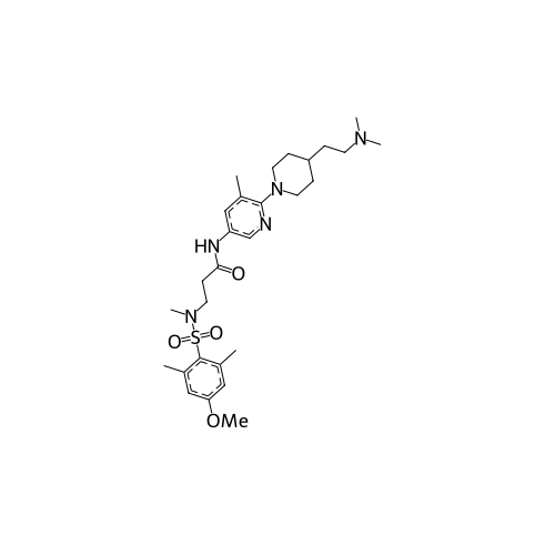 COc1cc(C)c(S(=O)(=O)N(C)CCC(=O)Nc2cnc(N3CCC(CCN(C)C)CC3)c(C)c2)c(C)c1